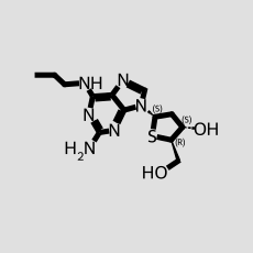 CCCNc1nc(N)nc2c1ncn2[C@@H]1C[C@H](O)[C@@H](CO)S1